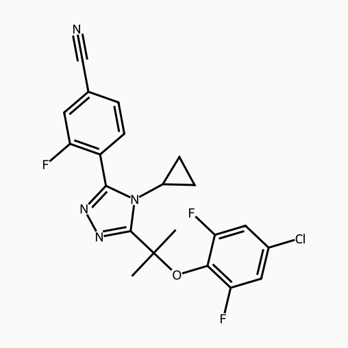 CC(C)(Oc1c(F)cc(Cl)cc1F)c1nnc(-c2ccc(C#N)cc2F)n1C1CC1